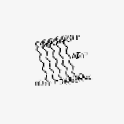 CCCCCCCCCCCCCCCCCC(=O)[O-].CCCCCCCCCCCCCCCCCC(=O)[O-].CCCCCCCCCCCCCCCCCC(=O)[O-].CCCCCCCCCCCCCCCCCC(=O)[O-].CCCCCCCCCCCCCCCCCC(=O)[O-].[Al+3].[Zn+2]